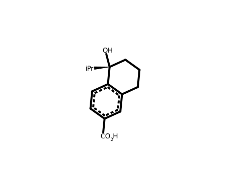 CC(C)[C@@]1(O)CCCc2cc(C(=O)O)ccc21